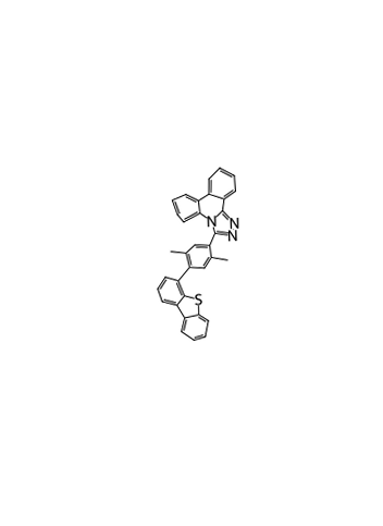 Cc1cc(-c2nnc3c4ccccc4c4ccccc4n23)c(C)cc1-c1cccc2c1sc1ccccc12